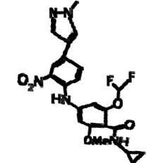 COc1cc(Nc2ccc(-c3cnn(C)c3)cc2[N+](=O)[O-])cc(OC(F)F)c1C(=O)NC1CC1